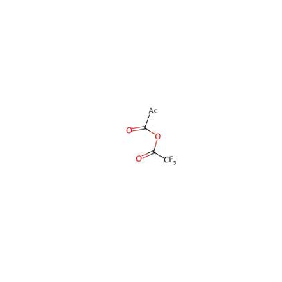 CC(=O)C(=O)OC(=O)C(F)(F)F